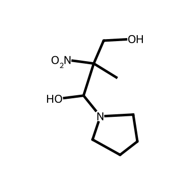 CC(CO)(C(O)N1CCCC1)[N+](=O)[O-]